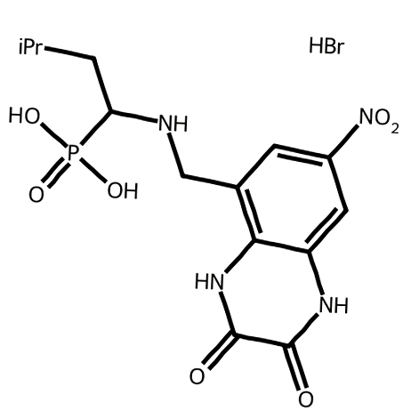 Br.CC(C)CC(NCc1cc([N+](=O)[O-])cc2[nH]c(=O)c(=O)[nH]c12)P(=O)(O)O